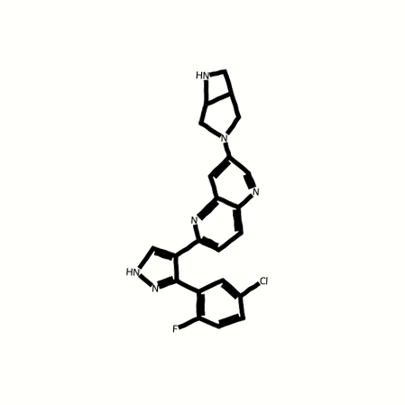 Fc1ccc(Cl)cc1-c1n[nH]cc1-c1ccc2ncc(N3CC4CNC4C3)cc2n1